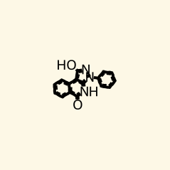 O=c1[nH]c2c(c(O)nn2-c2ccccc2)c2ccccc12